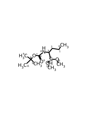 CCCC(NC(=O)OC(C)(C)C)[SiH](OC)OC